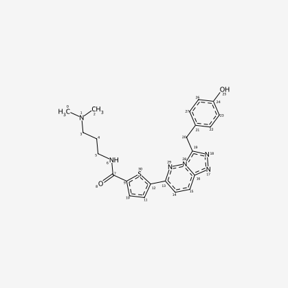 CN(C)CCCNC(=O)c1ccc(-c2ccc3nnc(Cc4ccc(O)cc4)n3n2)s1